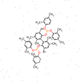 CC1=C=C=C(OP(OC2=C(C)C=C(C)CC2)Oc2c(C(C)C)cc(C)c(C)c2-c2c(C)c(C)cc(C(C)C)c2OP(Oc2ccc(C)cc2C)Oc2ccc(C)cc2C)C(C)=C1